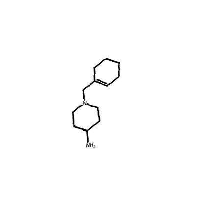 NC1CCN(CC2=CCCCC2)CC1